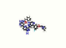 O=C(Cc1ccccc1)Nc1cncc(-c2ccc3[nH]nc(-c4cc5c(-c6cc(F)cc(OCCN7CCCC7)c6)nccc5[nH]4)c3n2)c1